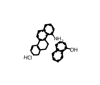 Cl.Nc1cccc2ccc3c(c12)CCC1=C3C=CCC1.Oc1cccc2ccccc12